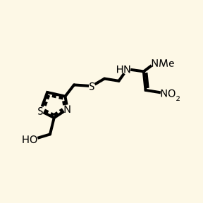 CNC(=C[N+](=O)[O-])NCCSCc1csc(CO)n1